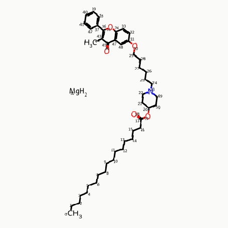 CCCCCCCCCCCCCCCCCC(=O)OC1CCN(CCCCCCOc2ccc3oc(-c4ccccc4)c(C)c(=O)c3c2)CC1.[MgH2]